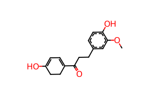 COc1cc(CCC(=O)C2=CC=C(O)CC2)ccc1O